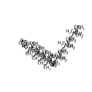 CCCC[N+](CC)(CC)P(C)N(CC)CC.CCCC[N+](CC)(CC)P(C)N(CC)CC.CCCC[N+](CC)(CC)P(C)N(CC)CC.CCCC[N+](CC)(CC)P(C)N(CC)CC.CCCC[N+](CC)(CC)P(C)N(CC)CC.CCCC[N+](CC)(CC)P(C)N(CC)CC.CCCC[N+](CC)(CC)P(C)N(CC)CC.O=C([O-])C(=O)[O-].O=C([O-])C(=O)[O-].[O-]B([O-])[O-]